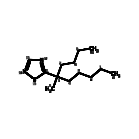 CCCCCC(C)(CCCC)c1ncns1